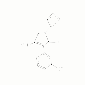 CNC1=C(c2cccc(C(F)(F)F)c2)C(=O)C(c2ccco2)C1